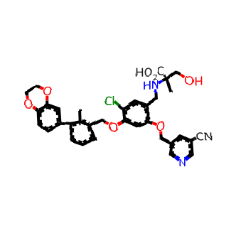 Cc1c(COc2cc(OCc3cncc(C#N)c3)c(CN[C@@](C)(CO)C(=O)O)cc2Cl)cccc1-c1ccc2c(c1)OCCO2